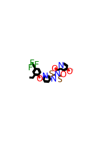 CCc1cc(C(F)(F)F)ccc1Oc1ccc2nc(-n3c(=S)oc4c(OC)ccnc4c3=O)sc2n1